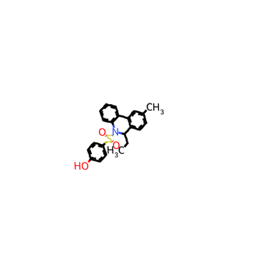 CCC1c2ccc(C)cc2-c2ccccc2N1S(=O)(=O)c1ccc(O)cc1